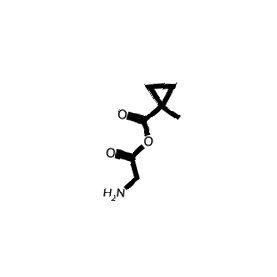 CC1(C(=O)OC(=O)CN)CC1